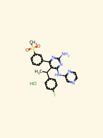 CC(c1ccc(F)cc1)c1c(Nc2cnccn2)nc(N)nc1-c1cccc(S(C)(=O)=O)c1.Cl